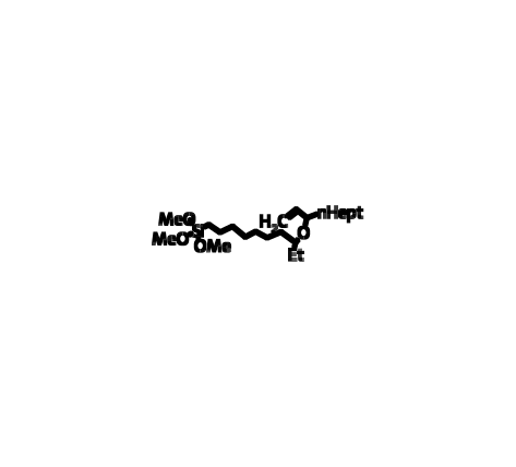 C=CC(CCCCCCC)OC(CC)CCCCCCC[Si](OC)(OC)OC